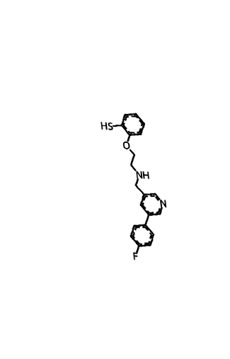 Fc1ccc(-c2cncc(CNCCOc3ccccc3S)c2)cc1